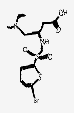 CN(C)CC(CC(=O)O)NS(=O)(=O)c1ccc(Br)s1